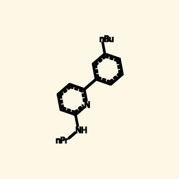 CCCCc1cccc(-c2cccc(NCCC)n2)c1